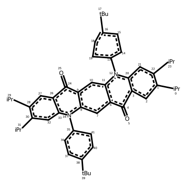 CC(C)c1cc2c(=O)c3cc4c(cc3n(-c3ccc(C(C)(C)C)cc3)c2cc1C(C)C)c(=O)c1cc(C(C)C)c(C(C)C)cc1n4-c1ccc(C(C)(C)C)cc1